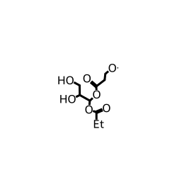 CCC(=O)OC(OC(=O)CC[O])C(O)CO